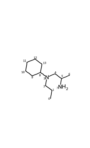 CCCN(CC(C)N)C1CCCCC1